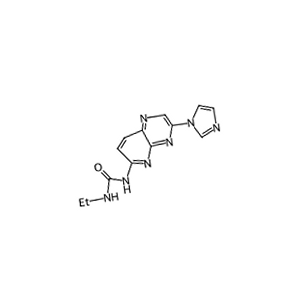 CCNC(=O)Nc1ccc2ncc(-n3ccnc3)nc2n1